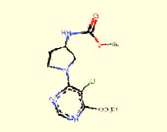 CCOC(=O)c1ncnc(N2CCC(NC(=O)OC(C)(C)C)C2)c1Cl